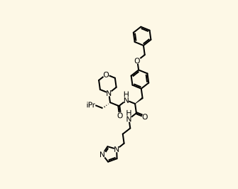 CC(C)C[C@@H](C(=O)N[C@@H](Cc1ccc(OCc2ccccc2)cc1)C(=O)NCCCn1ccnc1)N1CCOCC1